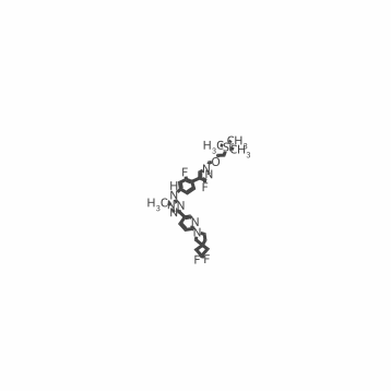 Cn1nc(-c2ccc(N3CCC4(C3)CC(F)(F)C4)nc2)nc1Nc1ccc(-c2cn(COCC[Si](C)(C)C)nc2F)c(F)c1